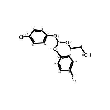 OCCOP(Oc1ccc(Cl)cc1)Oc1ccc(Cl)cc1